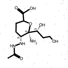 CC(=O)NN[C@@H]1CCC(C(=O)O)O[C@@]1(N)[C@H](O)CCO